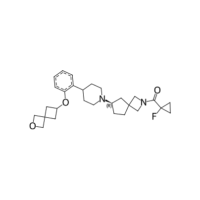 O=C(N1CC2(CC[C@@H](N3CCC(c4ccccc4OC4CC5(COC5)C4)CC3)C2)C1)C1(F)CC1